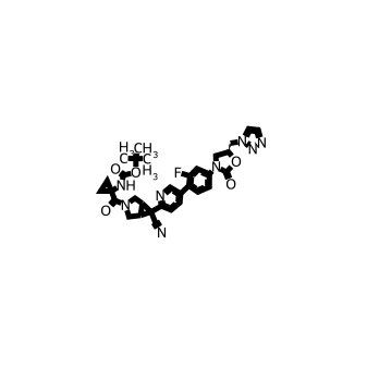 CC(C)(C)OC(=O)NC1(C(=O)N2CC3C(C2)C3(C#N)c2ccc(-c3ccc(N4C[C@H](Cn5ccnn5)OC4=O)cc3F)cn2)CC1